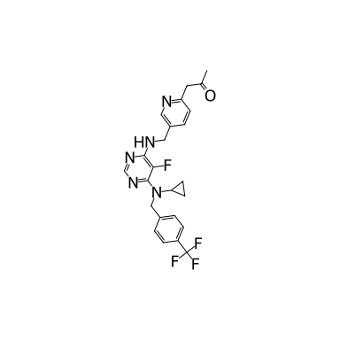 CC(=O)Cc1ccc(CNc2ncnc(N(Cc3ccc(C(F)(F)F)cc3)C3CC3)c2F)cn1